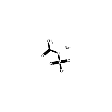 CC(=O)OS(=O)(=O)[O-].[Na+]